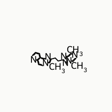 Cc1ncc(C)n2nc(CCc3nc4c5cccnc5ccn4c3C)nc12